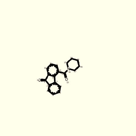 O=C1c2ccccc2-c2c1cccc2C(=O)N1CCCCC1